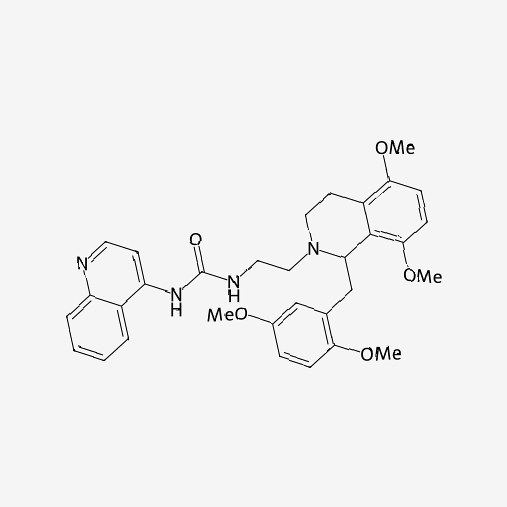 COc1ccc(OC)c(CC2c3c(OC)ccc(OC)c3CCN2CCNC(=O)Nc2ccnc3ccccc23)c1